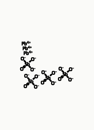 [O]=[Sb]([O-])([O-])[O-].[O]=[Sb]([O-])([O-])[O-].[O]=[Sb]([O-])([O-])[O-].[O]=[Sb]([O-])([O-])[O-].[Pb+4].[Pb+4].[Pb+4]